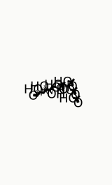 CC(=O)O.CC(=O)O.CC(=O)O.CC(=O)O.O=C[C@H](O)C[C@H](O)[C@H](O)CO